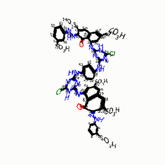 O=C1/C(=N/Nc2cccc(S(=O)(=O)O)c2)C(S(=O)(=O)O)=Cc2cc(S(=O)(=O)O)cc(N=c3nc(Nc4ccc(Nc5nc(Cl)[nH]c(=Nc6cc(S(=O)(=O)O)cc7c6C(=O)/C(=N/Nc6cccc(S(=O)(=O)O)c6)C(S(=O)(=O)O)=C7)n5)cc4)nc(Cl)[nH]3)c21